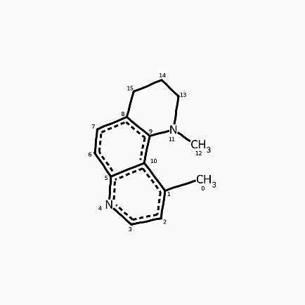 Cc1ccnc2ccc3c(c12)N(C)CCC3